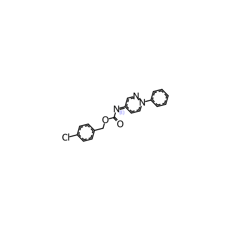 O=C(/N=c1\ccn(-c2ccccc2)nc1)OCc1ccc(Cl)cc1